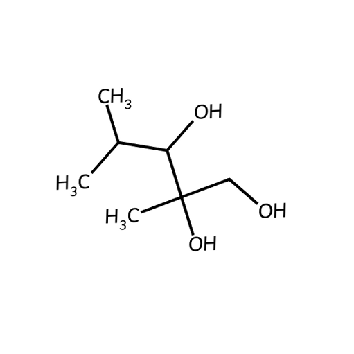 CC(C)C(O)C(C)(O)CO